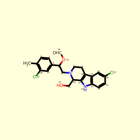 Cc1ccc(C(CN2CCc3c([nH]c4ccc(Cl)cc34)C2CO)OC=O)cc1Cl